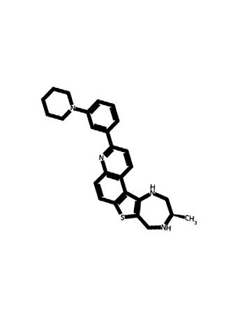 C[C@@H]1CNc2c(sc3ccc4nc(-c5cccc(N6CCCCC6)c5)ccc4c23)CN1